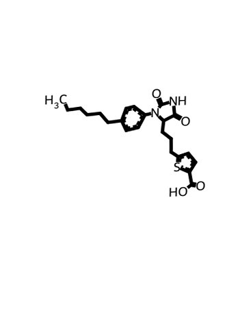 CCCCCCc1ccc(N2C(=O)NC(=O)C2CCCc2ccc(C(=O)O)s2)cc1